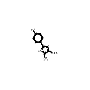 O=[C]c1cc(-c2ccc(Cl)cc2)oc1C(F)(F)F